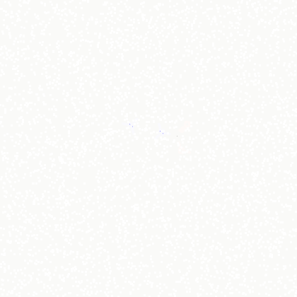 CCCCOC(=O)N1CCN(c2ccc(Br)c3c2CCC3)CC1